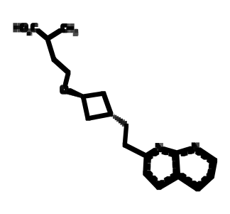 CC(CCO[C@H]1C[C@H](CCc2ccc3cccnc3n2)C1)C(=O)O